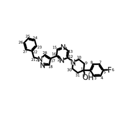 OC1(c2ccc(F)cc2)CCN(c2cncc(-c3cnn(Cc4ccccc4)c3)n2)CC1